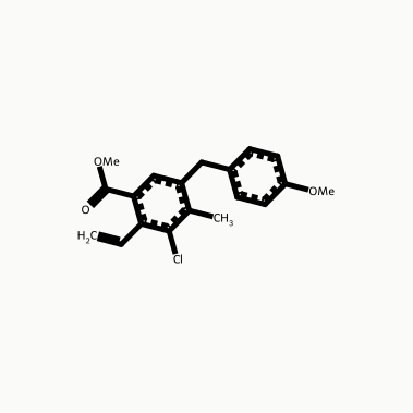 C=Cc1c(C(=O)OC)cc(Cc2ccc(OC)cc2)c(C)c1Cl